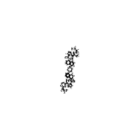 CC[C@H](NC(=O)[C@H](C)NC)C(=O)N1CCCC1C(=O)N[C@@H]1CCCc2c1cccc2N1CCN(c2cccc3c2CCC[C@H]3NC(=O)[C@@H]2CCCN2C(=O)[C@H](CC)NC(=O)[C@H](C)NC)CC1